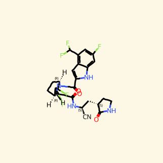 N#C[C@H](C[C@@H]1CCNC1=O)NC(=O)[C@@H]1[C@H]2CC[C@H](CC2(F)F)N1C(=O)c1cc2c(C(F)F)cc(F)cc2[nH]1